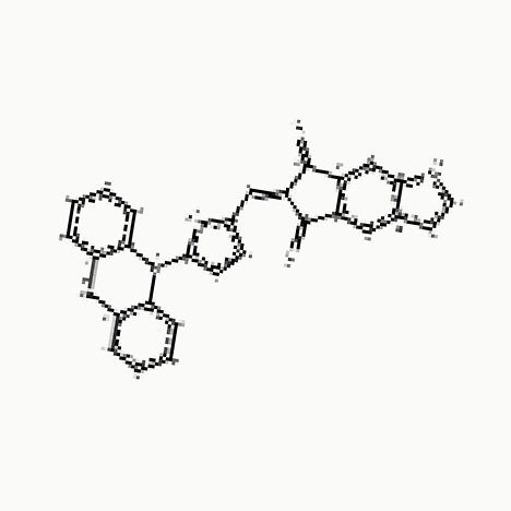 O=C1/C(=C\c2ccc(N3c4ccccc4[Se]c4ccccc43)[se]2)C(=O)c2cc3[se]ccc3cc21